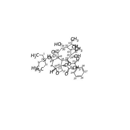 CC[Si](CC)(CC)O[C@H]1C[C@H]2OC[C@@]2(OC(C)=O)C2[C@H](OC(=O)c3ccccc3)[C@]3(O)CCC(C)C([C@@H](O)C(=O)[C@@]21C)C3(C)C